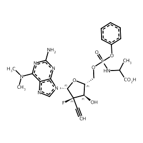 C#C[C@@]1(F)[C@H](O)[C@@H](COP(=O)(NC(C)C(=O)O)Oc2ccccc2)O[C@H]1n1cnc2c(N(C)C)nc(N)nc21